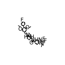 CCOc1cc(CN2CC[C@H]3C(NC(=O)c4ccc5c(c4)nc(C(F)(F)F)n5C(C)C)CC[C@H]32)cc(OCC)c1-c1ccc(F)cc1